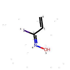 C=C/C(I)=N\O